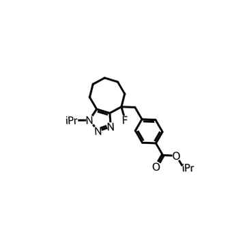 CC(C)OC(=O)c1ccc(CC2(F)CCCCCc3c2nnn3C(C)C)cc1